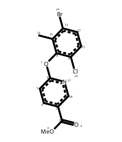 COC(=O)c1ccc(Oc2c(Cl)ccc(Br)c2C)nc1